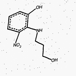 O=[N+]([O-])c1cccc(O)c1NCCCO